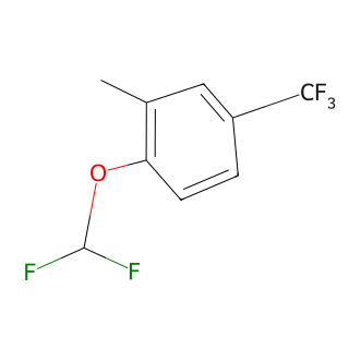 Cc1cc(C(F)(F)F)ccc1OC(F)F